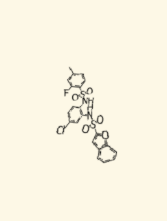 Cc1ccc(S(=O)(=O)Nc2ccc(Cl)cc2NS(=O)(=O)c2cc3ccccc3o2)c(F)c1